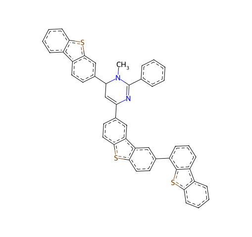 CN1C(c2ccccc2)=NC(c2ccc3sc4ccc(-c5cccc6c5sc5ccccc56)cc4c3c2)=CC1c1ccc2c(c1)sc1ccccc12